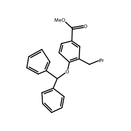 COC(=O)c1ccc(OC(c2ccccc2)c2ccccc2)c(CC(C)C)c1